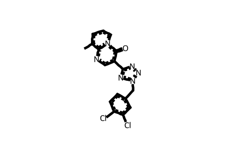 Cc1cccn2c(=O)c(-c3nnn(Cc4ccc(Cl)c(Cl)c4)n3)cnc12